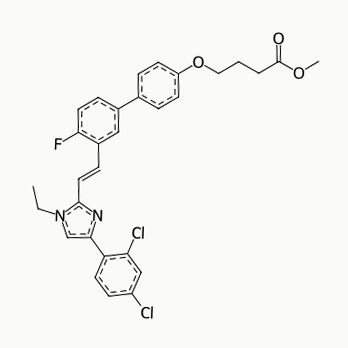 CCn1cc(-c2ccc(Cl)cc2Cl)nc1C=Cc1cc(-c2ccc(OCCCC(=O)OC)cc2)ccc1F